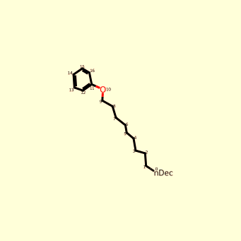 [CH2]CCCCCCCCCCCCCCCCCCOc1ccccc1